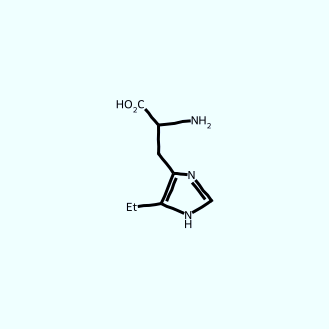 CCc1[nH]cnc1CC(N)C(=O)O